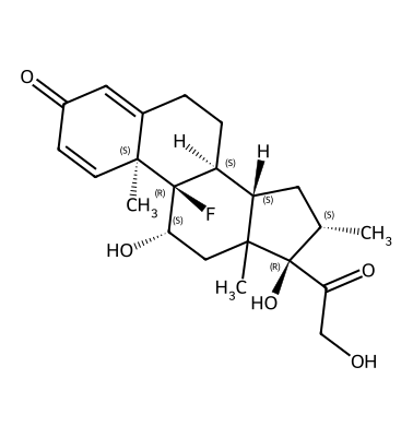 C[C@H]1C[C@H]2[C@@H]3CCC4=CC(=O)C=C[C@]4(C)[C@@]3(F)[C@@H](O)CC2(C)[C@@]1(O)C(=O)CO